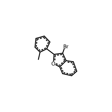 Cc1ccccc1-c1oc2ccccc2c1Br